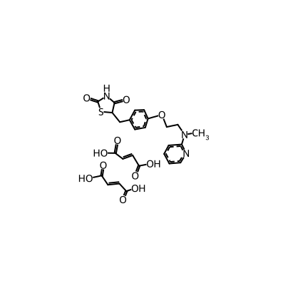 CN(CCOc1ccc(CC2SC(=O)NC2=O)cc1)c1ccccn1.O=C(O)C=CC(=O)O.O=C(O)C=CC(=O)O